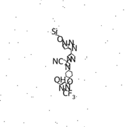 C[Si](C)(C)CCOCn1ccc2c(-c3cnn(C4(CC#N)CN([C@H]5CC[C@H](Oc6cc(CO)nc(C(F)(F)F)n6)CC5)C4)c3)ncnc21